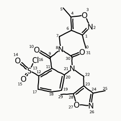 Cc1noc(C)c1Cn1c(=O)c2c(S(=O)(=O)Cl)cccc2n(Cc2c(C)noc2C)c1=O